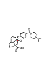 CC(C)N1CCN(C(=O)c2ccc(OS(=O)(=O)CC3(C(=O)O)CCCc4ccccc43)cc2)CC1